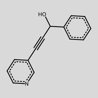 OC(C#Cc1cccnc1)c1ccccc1